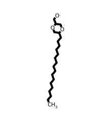 CCCCCCCCCCCCCCCCCC1COC(C[O])CO1